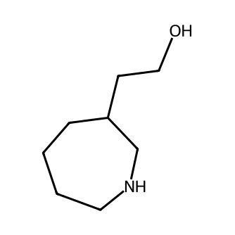 OCCC1CCCCNC1